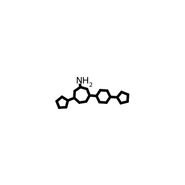 NC1CC(C2CCCC2)CCC(C2CCC(C3CCCC3)CC2)C1